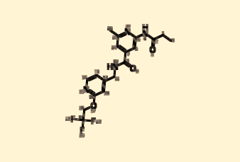 CCC(=O)Nc1cc(C(=O)NCc2ccnc(OCC(F)(F)F)c2)cc(C)n1